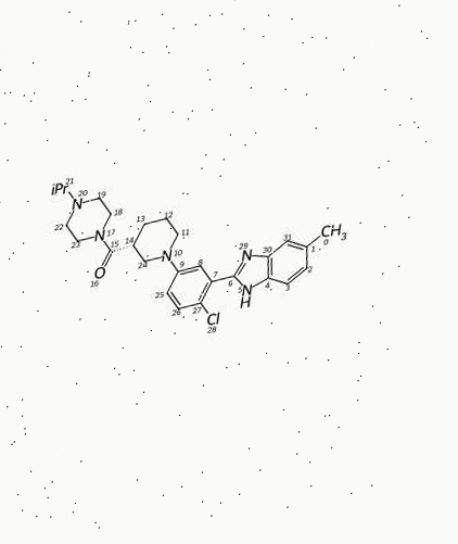 Cc1ccc2[nH]c(-c3cc(N4CCC[C@@H](C(=O)N5CCN(C(C)C)CC5)C4)ccc3Cl)nc2c1